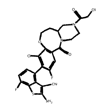 N#CCC(=O)N1CCN2C(=O)c3cc(F)c(-c4ccc(F)c5sc(N)c(C#N)c45)c(Cl)c3OCCC2C1